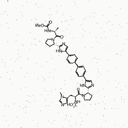 COC(=O)N[C@@H](C)C(=O)N1CCC[C@H]1c1ncc(-c2ccc(-c3ccc(-c4cnc([C@@H]5CCCN5C(=O)[C@H](Cc5cncn5C)NC(=O)O)[nH]4)cc3)cc2)[nH]1